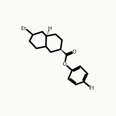 CCc1ccc(OC(=O)[C@@H]2CC[C@@H]3CC(CC)CCC3C2)cc1